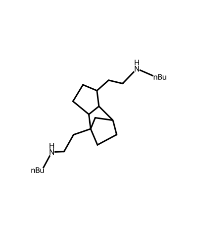 CCCCNCCC1CCC2C1C1CCC2(CCNCCCC)C1